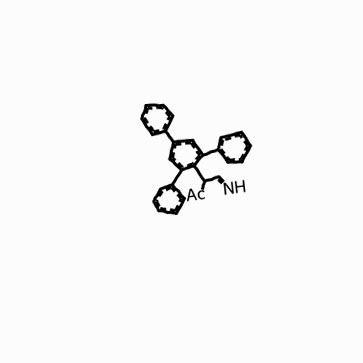 CC(=O)C(C=N)c1c(-c2ccccc2)cc(-c2ccccc2)cc1-c1ccccc1